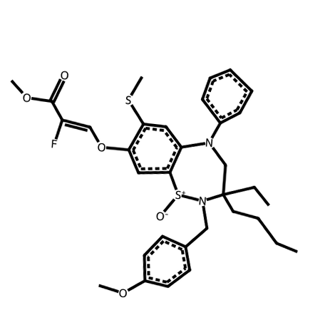 CCCCC1(CC)CN(c2ccccc2)c2cc(SC)c(O/C=C(\F)C(=O)OC)cc2[S+]([O-])N1Cc1ccc(OC)cc1